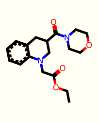 CCOC(=O)CN1CC(C(=O)N2CCOCC2)Cc2ccccc21